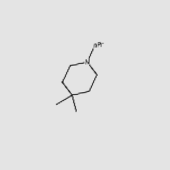 [CH2]CCN1CCC(C)(C)CC1